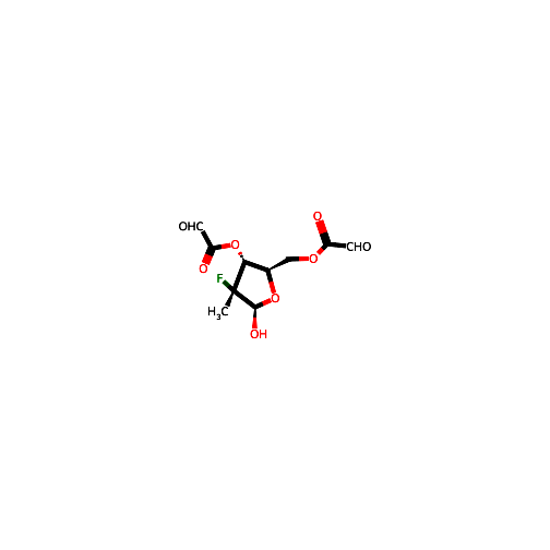 C[C@]1(F)[C@H](O)O[C@H](COC(=O)C=O)[C@H]1OC(=O)C=O